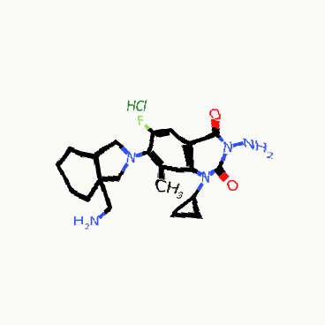 Cc1c(N2CC3CCCCC3(CN)C2)c(F)cc2c(=O)n(N)c(=O)n(C3CC3)c12.Cl